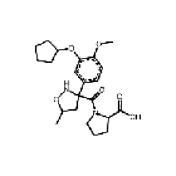 COc1ccc(C2(C(=O)N3CCCC3C(=O)O)CC(C)ON2)cc1OC1CCCC1